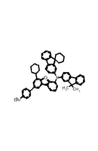 CC(C)(C)c1ccc(-c2cc(C3CCCCC3)c3oc4c(N(c5ccc6c(c5)C(C)(C)c5ccccc5-6)c5ccc6c(c5)C5(CCCCC5)c5ccccc5-6)cccc4c3c2)cc1